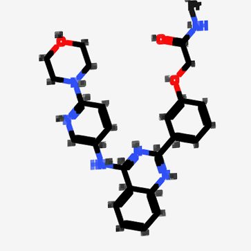 CC(C)NC(=O)COc1cccc(-c2nc(Nc3ccc(N4CCOCC4)nc3)c3ccccc3n2)c1